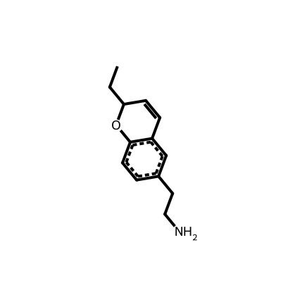 CCC1C=Cc2cc(CCN)ccc2O1